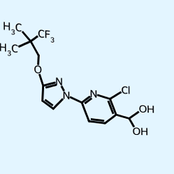 CC(C)(COc1ccn(-c2ccc(C(O)O)c(Cl)n2)n1)C(F)(F)F